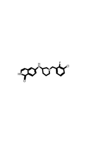 O=c1[nH]ccc2cc(NC3CCCN(Cc4cccc(Cl)c4F)C3)ccc12